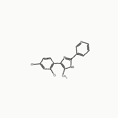 Cc1[nH]c(-c2cccnc2)nc1-c1ccc(Cl)cc1Cl